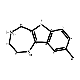 Cc1ccc2sc3c(c2c1)SCCNC3